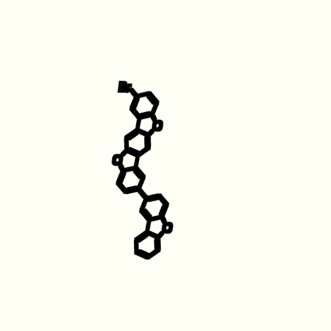 Brc1ccc2oc3cc4c(cc3c2c1)oc1ccc(-c2ccc3oc5ccccc5c3c2)cc14